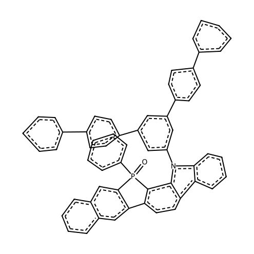 O=P1(c2ccccc2)c2cc3ccccc3cc2-c2ccc3c4ccccc4n(-c4cc(-c5ccc(-c6ccccc6)cc5)cc(-c5ccc(-c6ccccc6)cc5)c4)c3c21